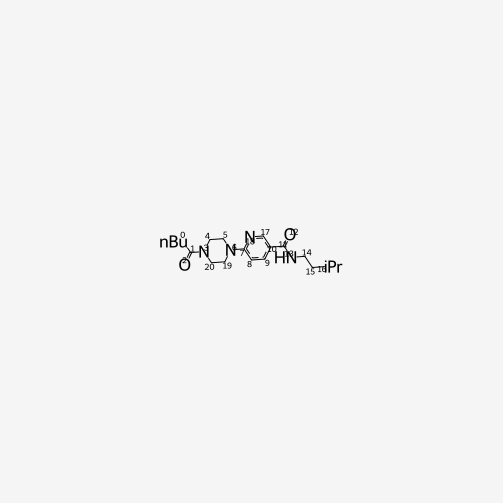 CCCCC(=O)N1CCN(c2ccc(C(=O)NCCC(C)C)cn2)CC1